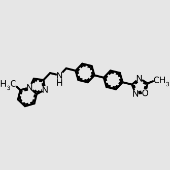 Cc1nc(-c2ccc(-c3ccc(CNCc4cn5c(C)cccc5n4)cc3)cc2)no1